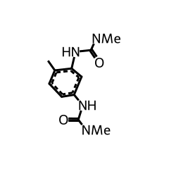 CNC(=O)Nc1ccc(C)c(NC(=O)NC)c1